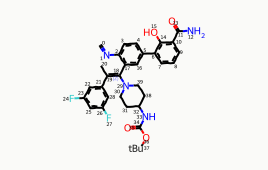 C=Nc1ccc(-c2cccc(C(N)=O)c2O)cc1/C(=C(\C)c1cc(F)cc(F)c1)N1CCC(NC(=O)OC(C)(C)C)CC1